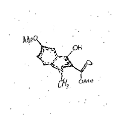 COC(=O)c1c(O)c2cc(OC)ccc2n1C